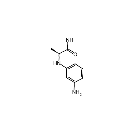 C[C@H](Nc1cccc(N)c1)C([NH])=O